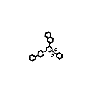 CN(CC(CCN1CCC(c2ccccc2)CC1)c1ccc2ccccc2c1)S(=O)(=O)c1ccccc1